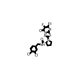 CCc1nc2sc(N3CCC[C@@H]3C(=O)NCc3ccc(Cl)c(Cl)c3)nn2c(=O)c1F